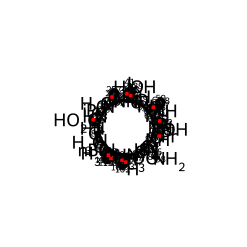 CCCC[C@H]1C(=O)N(C)CC(=O)N[C@@H](CC(=O)O)C(=O)N[C@@H](C(C)C)C(=O)N(C)[C@@H](Cc2ccccc2)C(=O)N[C@@H](Cc2ccc(O)c(I)c2)C(=O)N(C)CC(=O)N[C@@H](Cc2c[nH]c3ccccc23)C(=O)N[C@@H](Cc2ccc(O)cc2)C(=O)N[C@@H](CC(C)C)C(=O)N[C@H](CNCC(N)=O)CSCC(=O)N[C@@H](Cc2ccccc2)C(=O)N(C)[C@@H](Cc2ccccc2)C(=O)N1C